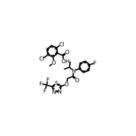 CC(C)N(C(=O)COc1nnc(C(F)(F)F)s1)c1ccc(F)cc1.COc1c(Cl)ccc(Cl)c1C(=O)O